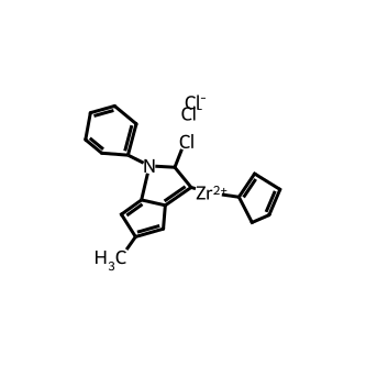 CC1=CC2=[C]([Zr+2][C]3=CC=CC3)C(Cl)N(c3ccccc3)C2=C1.[Cl-].[Cl-]